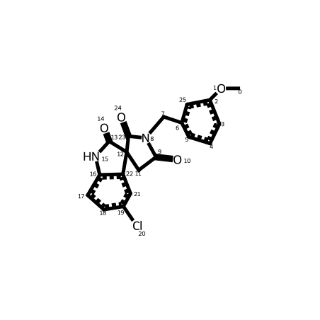 COc1cccc(CN2C(=O)CC3(C(=O)Nc4ccc(Cl)cc43)C2=O)c1